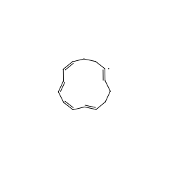 [C]1=C/CC/C=C/C=C\C=C\C=C/CC/1